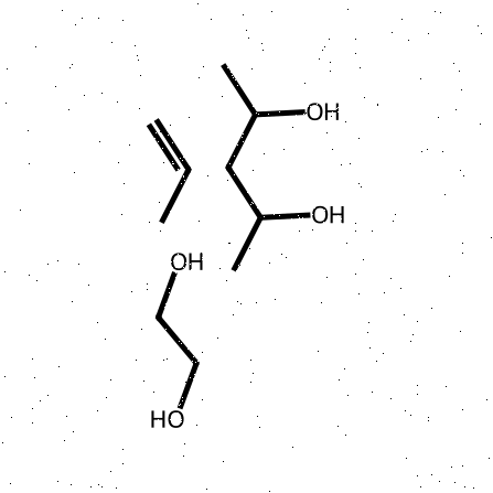 C=CC.CC(O)CC(C)O.OCCO